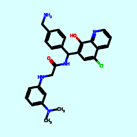 CN(C)c1cccc(NCC(=O)NC(c2ccc(CN)cc2)c2cc(Cl)c3cccnc3c2O)c1